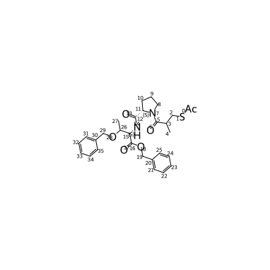 CC(=O)SCC(C)C(=O)N1CCC[C@H]1C(=O)N[C@H](C(=O)OCc1ccccc1)C(C)OCc1ccccc1